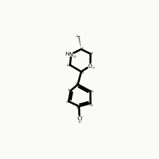 C[C@@H]1COC(c2ccc(Cl)cc2)CN1